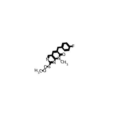 COOSc1ncc2cc(Cc3ccc(F)cc3)c(=O)n(C)c2n1